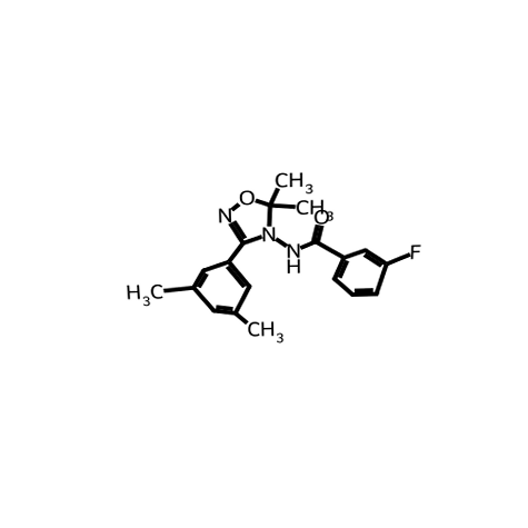 Cc1cc(C)cc(C2=NOC(C)(C)N2NC(=O)c2cccc(F)c2)c1